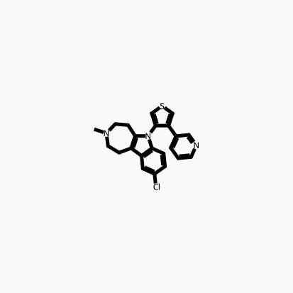 CN1CCc2c(n(-c3cscc3-c3cccnc3)c3ccc(Cl)cc23)CC1